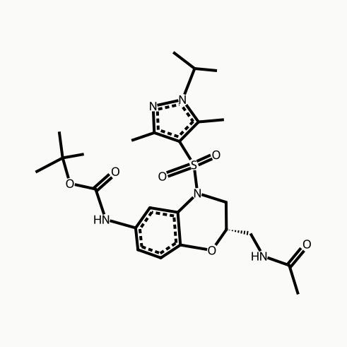 CC(=O)NC[C@H]1CN(S(=O)(=O)c2c(C)nn(C(C)C)c2C)c2cc(NC(=O)OC(C)(C)C)ccc2O1